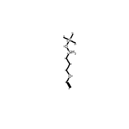 C=COCCC[SiH2]O[Si](C)(C)C